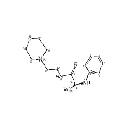 CC[C@H](C)[C@H](Nc1ccccc1)C(=O)NCCN1CCOCC1